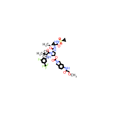 CC[C@@H]1C[C@]1(NC(=O)[C@@H]1C[C@@H](OC(=O)N2Cc3ccc(NC(=O)COC)cc3C2)CN1C(=O)[C@@H](Nc1cc(F)cc(C(F)(F)F)c1)C(C)(C)C)C(=O)NS(=O)(=O)C1CC1